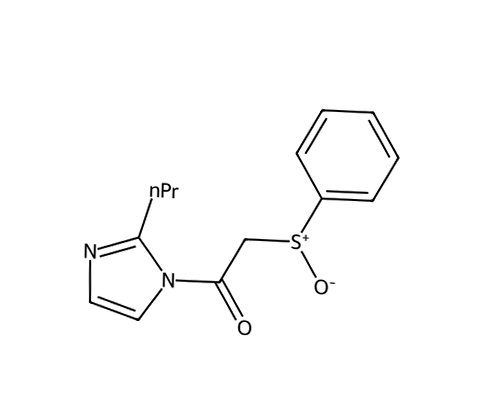 CCCc1nccn1C(=O)C[S+]([O-])c1ccccc1